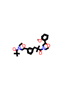 COc1ccccc1C1CN(C(=O)C(C)(C)Cc2cccc(C3CN(C(=O)C(C)(C)C)CCO3)c2)CCO1